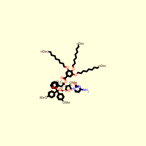 CCCCCCCCCCCCCCCCCCOc1cc(C(=O)OC(C(=O)O)(C(=O)c2ccccc2)[C@@H]2[C@@H](OC)[C@H](n3ccc(N)nc3=O)O[C@@H]2COC(c2ccccc2)(c2ccc(OC)cc2)c2ccc(OC)cc2)cc(OCCCCCCCCCCCCCCCCCC)c1OCCCCCCCCCCCCCCCCCC